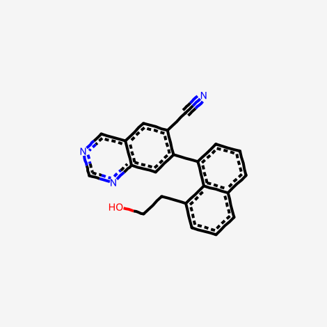 N#Cc1cc2cncnc2cc1-c1cccc2cccc(CCO)c12